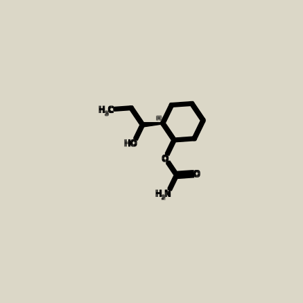 CCC(O)[C@H]1CCCCC1OC(N)=O